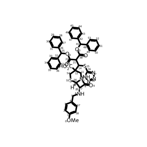 COc1ccc(CN[C@@H]2C(=O)N3CC(C(=O)O)(C(Sc4nnn[nH]4)C(C(=O)OC(c4ccccc4)c4ccccc4)C(=O)OC(c4ccccc4)c4ccccc4)CS[C@H]23)cc1